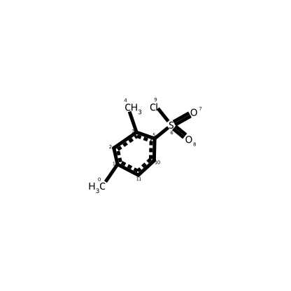 Cc1[c]c(C)c(S(=O)(=O)Cl)cc1